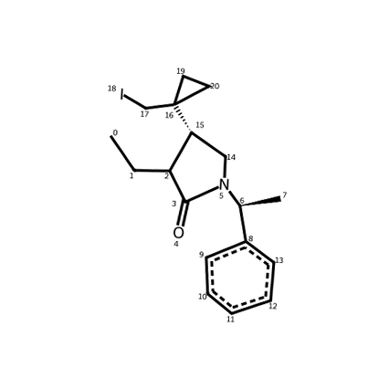 CCC1C(=O)N([C@@H](C)c2ccccc2)C[C@H]1C1(CI)CC1